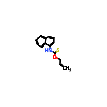 C=CCOC(=S)Nc1cccc2ccccc12